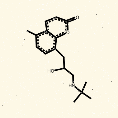 Cc1ccc(CC(O)CNC(C)(C)C)c2oc(=O)ccc12